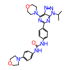 CC(C)n1nnc2c(N3CCOCC3)nc(-c3ccc(NC(=O)Nc4ccc(N5CCOCC5)cc4)cc3)nc21